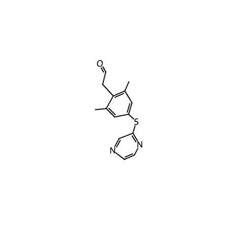 Cc1cc(Sc2cnccn2)cc(C)c1CC=O